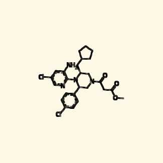 COC(=O)CC(=O)N1CC(c2ccc(Cl)cc2)N(c2ncc(Cl)cc2N)[C@@H](CC2CCCC2)C1